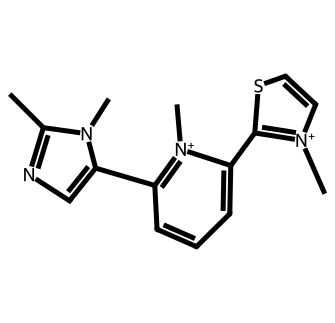 Cc1ncc(-c2cccc(-c3scc[n+]3C)[n+]2C)n1C